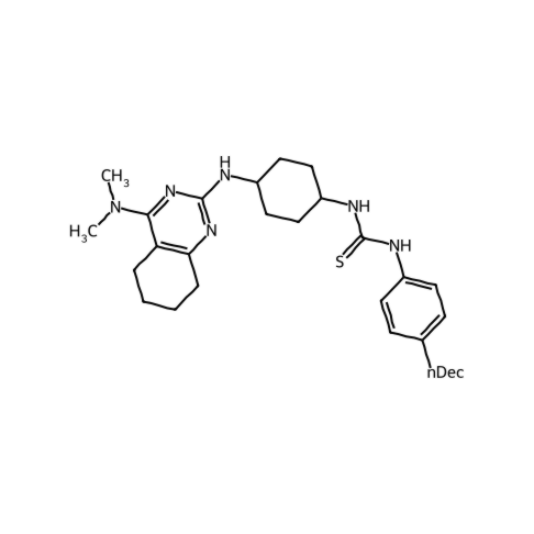 CCCCCCCCCCc1ccc(NC(=S)NC2CCC(Nc3nc4c(c(N(C)C)n3)CCCC4)CC2)cc1